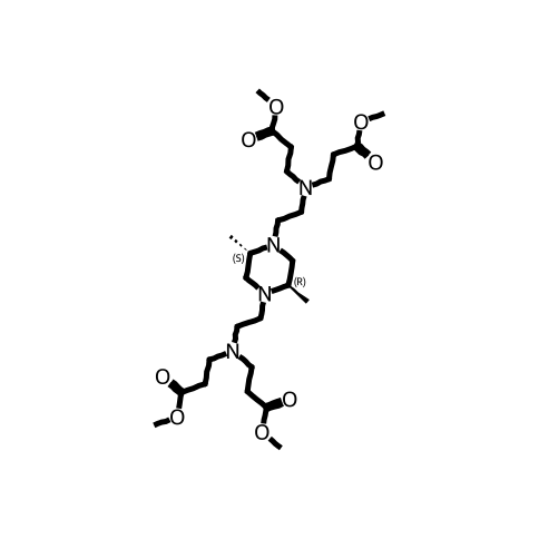 COC(=O)CCN(CCC(=O)OC)CCN1C[C@H](C)N(CCN(CCC(=O)OC)CCC(=O)OC)C[C@H]1C